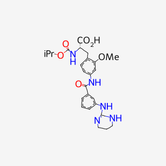 COc1cc(NC(=O)c2cccc(NC3=NCCCN3)c2)ccc1C[C@H](NC(=O)OC(C)C)C(=O)O